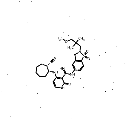 COCC(C)(C)CN1Cc2cc(NC(=N)c3c(N[C@H]4CCCCC[C@@H]4C#N)cc[nH]c3=O)ccc2S1(=O)=O